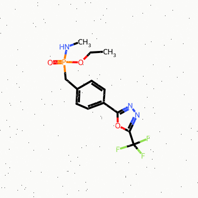 CCOP(=O)(Cc1ccc(-c2nnc(C(F)(F)F)o2)cc1)NC